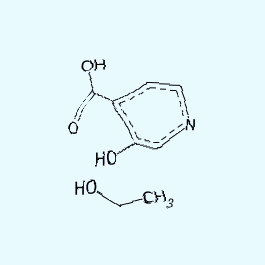 CCO.O=C(O)c1ccncc1O